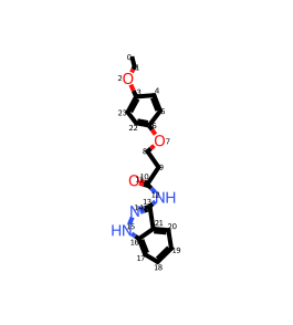 CCOc1ccc(OCCC(=O)Nc2n[nH]c3ccccc23)cc1